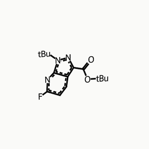 CC(C)(C)OC(=O)c1nn(C(C)(C)C)c2nc(F)ccc12